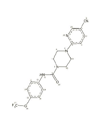 N#Cc1ccc(N2CCN(C(=O)Nc3ccc(OC(F)(F)F)cc3)CC2)nc1